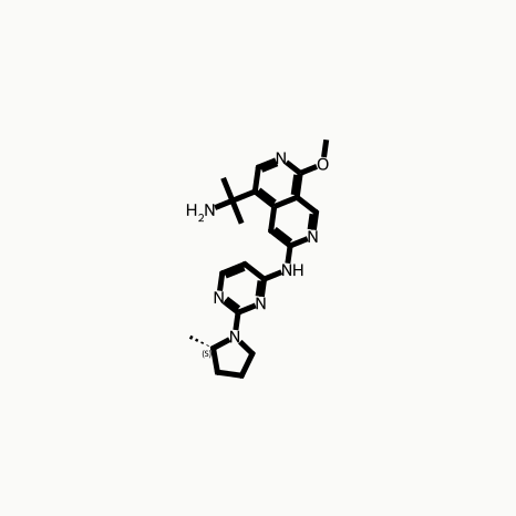 COc1ncc(C(C)(C)N)c2cc(Nc3ccnc(N4CCC[C@@H]4C)n3)ncc12